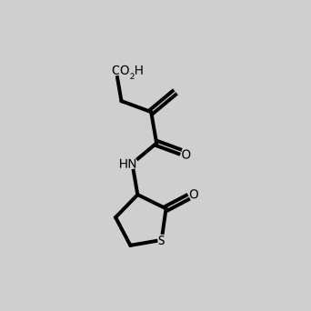 C=C(CC(=O)O)C(=O)NC1CCSC1=O